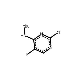 CC(C)(C)Nc1nc(Cl)ncc1I